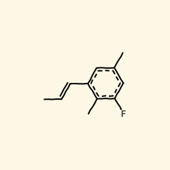 C/C=C/c1cc(C)cc(F)c1C